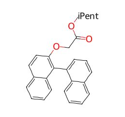 CCCC(C)OC(=O)COc1ccc2ccccc2c1-c1cccc2ccccc12